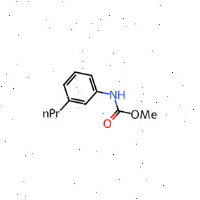 CCCc1cccc(NC(=O)OC)c1